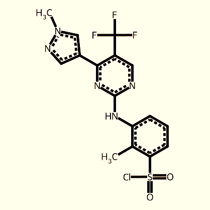 Cc1c(Nc2ncc(C(F)(F)F)c(-c3cnn(C)c3)n2)cccc1S(=O)(=O)Cl